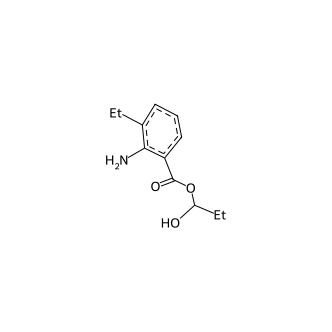 CCc1cccc(C(=O)OC(O)CC)c1N